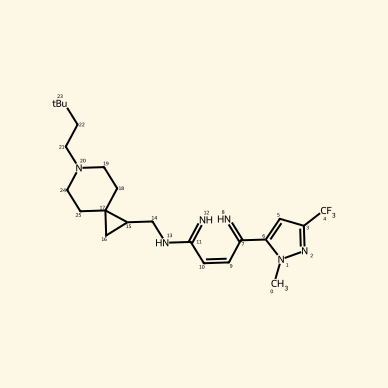 Cn1nc(C(F)(F)F)cc1C(=N)/C=C\C(=N)NCC1CC12CCN(CCC(C)(C)C)CC2